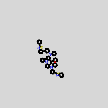 C1=C(c2ccccc2)c2cc(N(c3ccccc3)c3cccc(-c4cccc5nc(-c6ccccc6)sc45)c3)cc3c4ccccc4n(c23)-c2cccc(N(c3ccccc3)c3cccc(-c4nc5ccccc5s4)c3)c21